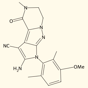 COc1ccc(C)c(-n2c(N)c(C#N)c3c4n(nc32)CCN(C)C4=O)c1C